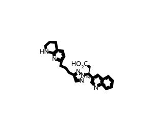 O=C(O)C[C@@H](c1cnc2ccccc2c1)n1ncc(CCCc2ccc3c(n2)NCCC3)n1